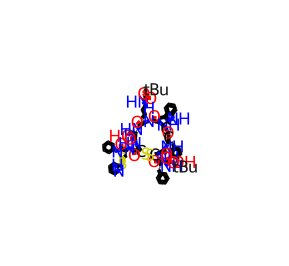 C[C@@H](O)[C@@H]1NC(=O)[C@H](CCCCNC(=O)OC(C)(C)C)NC(=O)[C@@H](Cc2c[nH]c3ccccc23)NCOC[C@H](Cc2ccc(O)cc2)NC(=O)[C@@H](NC(=O)[C@@H](Cc2ccccc2)NC(=O)OC(C)(C)C)CSSC[C@@H](C(=O)N[C@@H](CSSc2ccccn2)C(=O)NC2CCCCC2)NC1=O